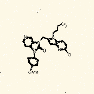 COc1ccc(-n2c(=O)n(Cc3cc4nc(Cl)ccc4n3CCCC(F)(F)F)c3cnccc32)cc1